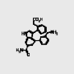 NCc1cccc(-c2cc(C(N)=O)cc3[nH]cc(-c4ccccc4CC(=O)O)c23)c1